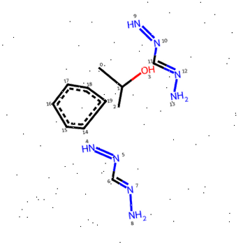 CC(C)O.N=NC=NN.N=NC=NN.c1ccccc1